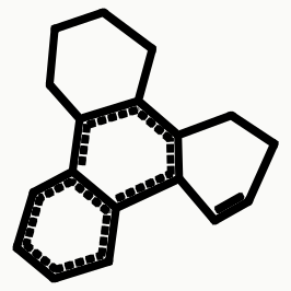 C1=Cc2c(c3c(c4ccccc24)CCCC3)CC1